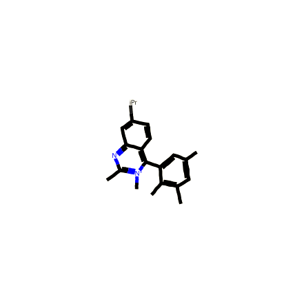 Cc1cc(C)c(C)c(-c2c3ccc(C(C)C)cc3nc(C)[n+]2C)c1